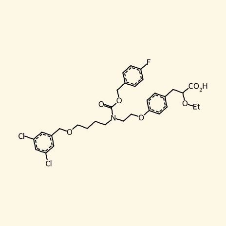 CCOC(Cc1ccc(OCCN(CCCCOCc2cc(Cl)cc(Cl)c2)C(=O)OCc2ccc(F)cc2)cc1)C(=O)O